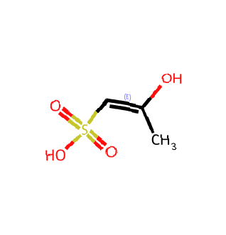 C/C(O)=C\S(=O)(=O)O